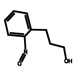 O=Nc1ccccc1CCCO